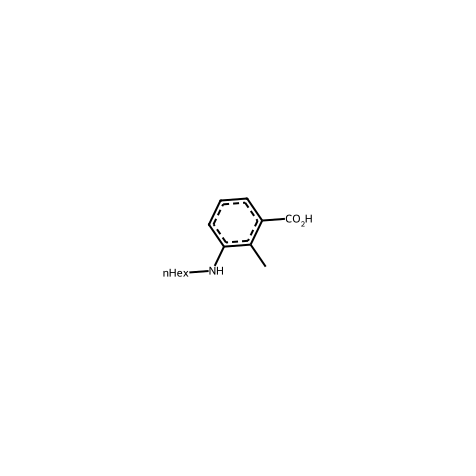 CCCCCCNc1cccc(C(=O)O)c1C